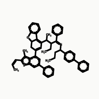 C/C=C\c1sc2cc(-c3ccccc3)cc(C3=CC(C(C)C(CC)/C(=N\C(CCC)c4ccc(-c5ccccc5)cc4)c4ccccc4)=C4c5ccccc5OC4C3)c2c1C